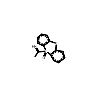 CC(=N)P1(=O)c2ccccc2Oc2ccccc21